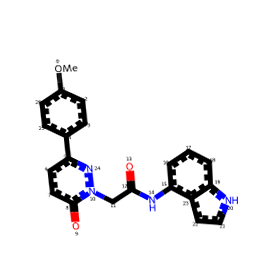 COc1ccc(-c2ccc(=O)n(CC(=O)Nc3cccc4[nH]ccc34)n2)cc1